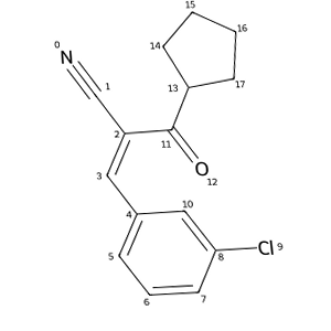 N#CC(=Cc1cccc(Cl)c1)C(=O)C1CCCC1